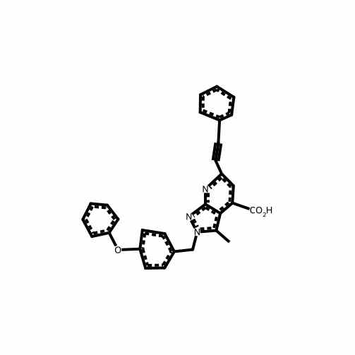 Cc1c2c(C(=O)O)cc(C#Cc3ccccc3)nc2nn1Cc1ccc(Oc2ccccc2)cc1